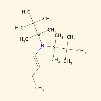 CCC=CN([Si](C)(C)C(C)(C)C)[Si](C)(C)C(C)(C)C